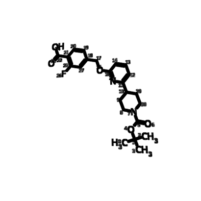 CC(C)(C)OC(=O)N1CCC(c2cccc(OCc3ccc(C(=O)O)c(F)c3)n2)CC1